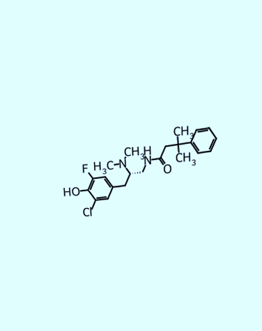 CN(C)[C@H](CNC(=O)CC(C)(C)c1ccccc1)Cc1cc(F)c(O)c(Cl)c1